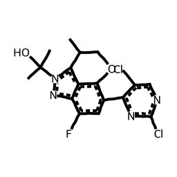 CC1COc2c(-c3nc(Cl)ncc3Cl)cc(F)c3nn(C(C)(C)O)c1c23